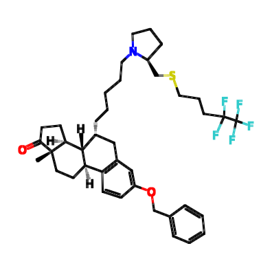 C[C@]12CC[C@@H]3c4ccc(OCc5ccccc5)cc4C[C@@H](CCCCCN4CCC[C@H]4CSCCCC(F)(F)C(F)(F)F)[C@H]3[C@@H]1CCC2=O